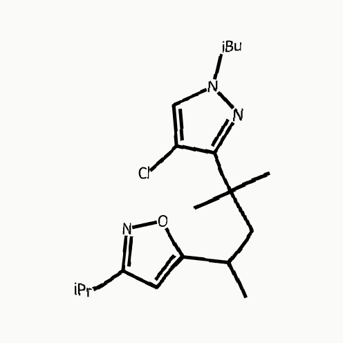 CCC(C)n1cc(Cl)c(C(C)(C)CC(C)c2cc(C(C)C)no2)n1